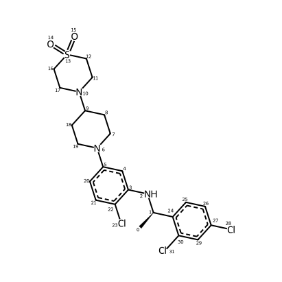 C[C@@H](Nc1cc(N2CCC(N3CCS(=O)(=O)CC3)CC2)ccc1Cl)c1ccc(Cl)cc1Cl